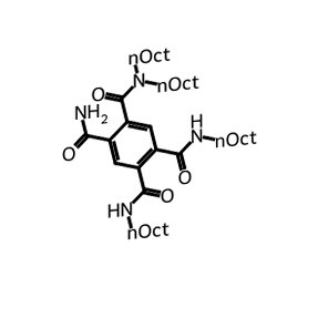 CCCCCCCCNC(=O)c1cc(C(N)=O)c(C(=O)N(CCCCCCCC)CCCCCCCC)cc1C(=O)NCCCCCCCC